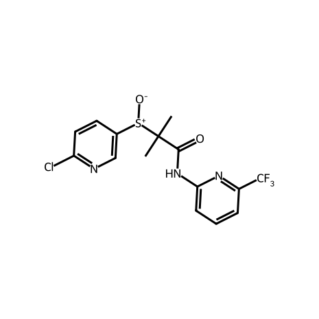 CC(C)(C(=O)Nc1cccc(C(F)(F)F)n1)[S+]([O-])c1ccc(Cl)nc1